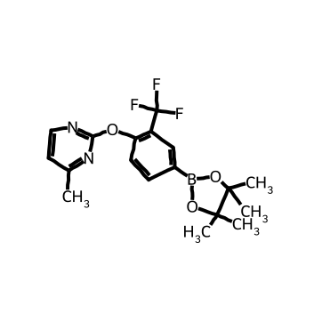 Cc1ccnc(Oc2ccc(B3OC(C)(C)C(C)(C)O3)cc2C(F)(F)F)n1